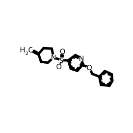 C=C1CCN(S(=O)(=O)c2ccc(OCc3ccccc3)nc2)CC1